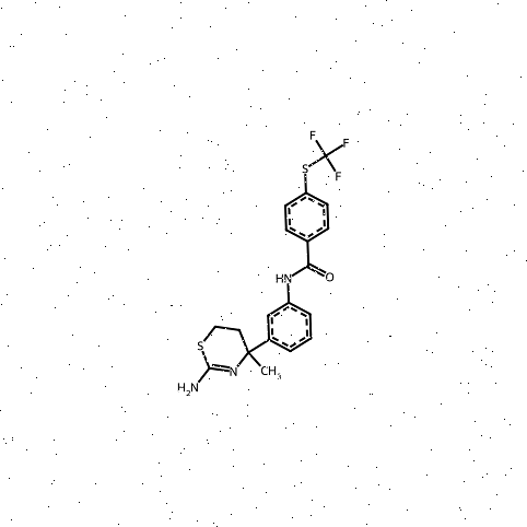 CC1(c2cccc(NC(=O)c3ccc(SC(F)(F)F)cc3)c2)CCSC(N)=N1